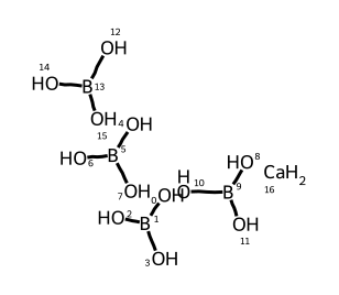 OB(O)O.OB(O)O.OB(O)O.OB(O)O.[CaH2]